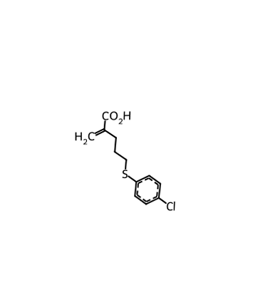 C=C(CCCSc1ccc(Cl)cc1)C(=O)O